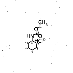 CCOC(=O)NC1CCCCC1.Cl